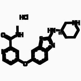 CNC(=O)c1cc(Oc2ccc3nc(N[C@H]4CCCNC4)sc3c2)ccn1.Cl